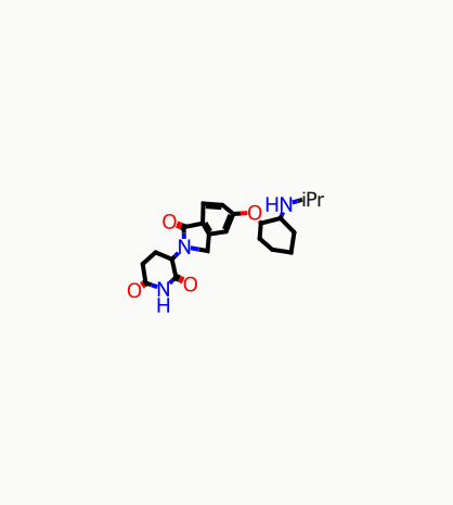 CC(C)NC1CCCC[C@H]1Oc1ccc2c(c1)CN(C1CCC(=O)NC1=O)C2=O